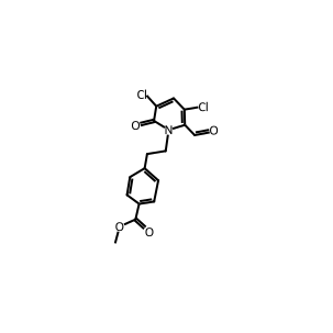 COC(=O)c1ccc(CCn2c(C=O)c(Cl)cc(Cl)c2=O)cc1